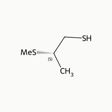 CS[C@@H](C)CS